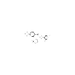 Cc1nn(C)cc1S(=O)(=O)NC(=O)c1ccc([Si](C)(C)C)nc1N1C[C@@H](C)CC1(C)C